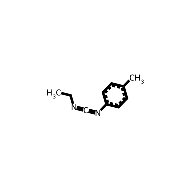 CCN=C=Nc1ccc(C)cc1